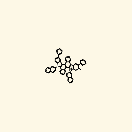 CC1Cc2c(c3c4ccccc4c4c(c5ccccc5c5c4c4cc(-c6ccccc6)ccc4n5-c4ccc5ccccc5c4)c3n2-c2ccc3ccccc3c2)C=C1c1ccccc1